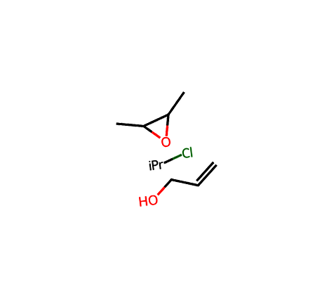 C=CCO.CC(C)Cl.CC1OC1C